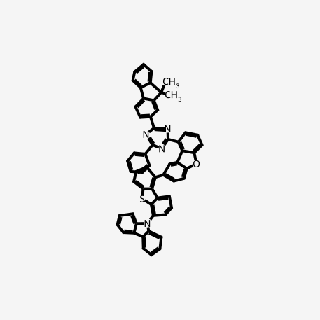 CC1(C)c2ccccc2-c2ccc(-c3nc(-c4ccccc4)nc(-c4cccc5oc6ccc(-c7cccc8sc9c(-n%10c%11ccccc%11c%11ccccc%11%10)cccc9c78)cc6c45)n3)cc21